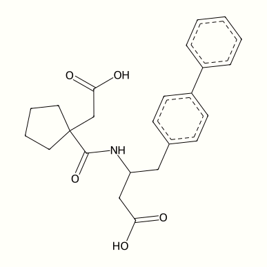 O=C(O)CC(Cc1ccc(-c2ccccc2)cc1)NC(=O)C1(CC(=O)O)CCCC1